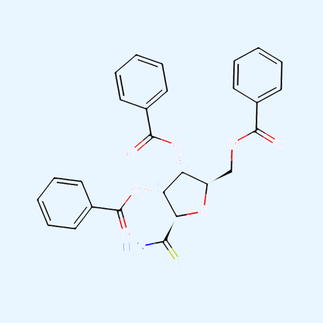 NC(=S)[C@@H]1O[C@H](COC(=O)c2ccccc2)[C@@H](OC(=O)c2ccccc2)[C@H]1OC(=O)c1ccccc1